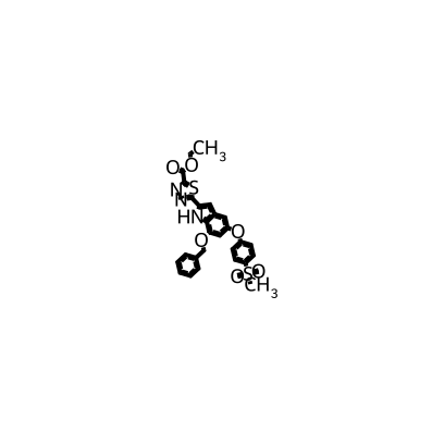 CCOC(=O)c1nnc(-c2cc3cc(Oc4ccc(S(C)(=O)=O)cc4)cc(OCc4ccccc4)c3[nH]2)s1